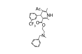 CC(=O)C1=C(C)NC(C)=C(C(=O)OCCN(C)Cc2ccccc2)C1c1cccc(C(F)(F)F)c1